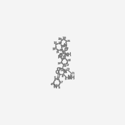 O=C(c1ccncc1)C1CNCCN1C(=O)c1ccc(NS(=O)(=O)c2cccc3cccnc23)c(F)c1